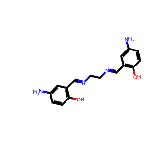 Nc1ccc(O)c(/C=N/CC/N=C/c2cc(N)ccc2O)c1